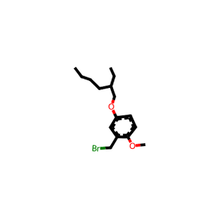 CCCCC(CC)COc1ccc(OC)c(CBr)c1